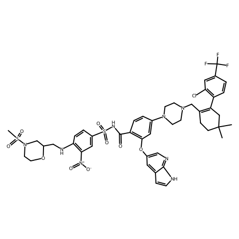 CC1(C)CCC(CN2CCN(c3ccc(C(=O)NS(=O)(=O)c4ccc(NCC5CN(S(C)(=O)=O)CCO5)c([N+](=O)[O-])c4)c(Oc4cnc5[nH]ccc5c4)c3)CC2)=C(c2ccc(C(F)(F)F)cc2Cl)C1